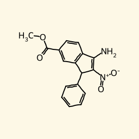 COC(=O)c1ccc2c(c1)C(c1ccccc1)C([N+](=O)[O-])=C2N